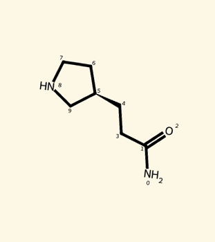 NC(=O)CC[C@@H]1CCNC1